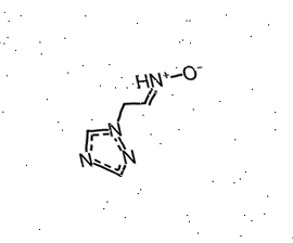 [O-][NH+]=CCn1cncn1